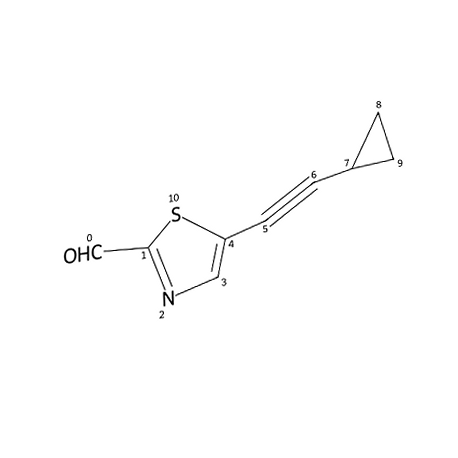 O=Cc1ncc(C#CC2CC2)s1